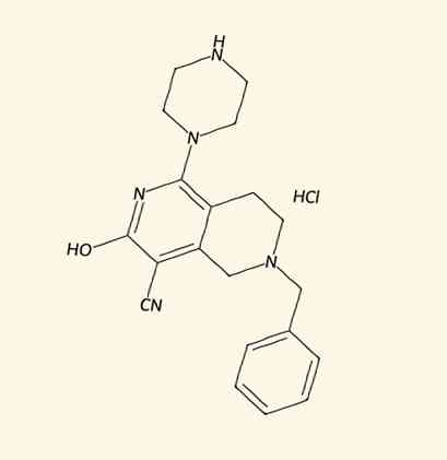 Cl.N#Cc1c(O)nc(N2CCNCC2)c2c1CN(Cc1ccccc1)CC2